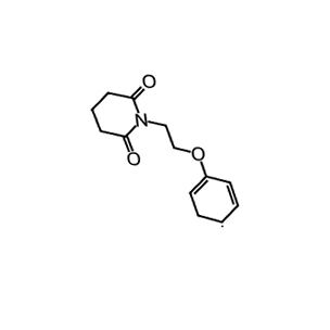 O=C1CCCC(=O)N1CCOC1=CC[CH]C=C1